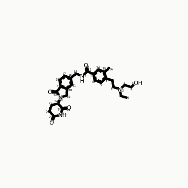 CCN(CCO)CCc1ccc(C(=O)NCc2ccc3c(c2)CN(C2CCC(=O)NC2=O)C3=O)cc1C